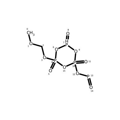 COCOP1(=O)O[PH](=O)OP(=O)(OP=O)O1